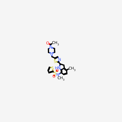 CC(=O)N1CCN(Cc2cnc(C3Cc4c(C)ccc(N(C)S(=O)(=O)c5cccs5)c4N3)s2)CC1